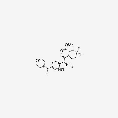 COC(=O)[C@@H]1CC(F)(F)CC[C@H]1C(=O)C(N)c1ccc(C(=O)N2CCOCC2)cc1.Cl